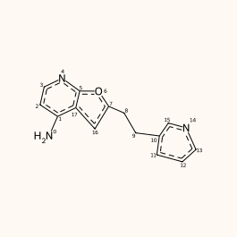 Nc1ccnc2oc(CCc3cccnc3)cc12